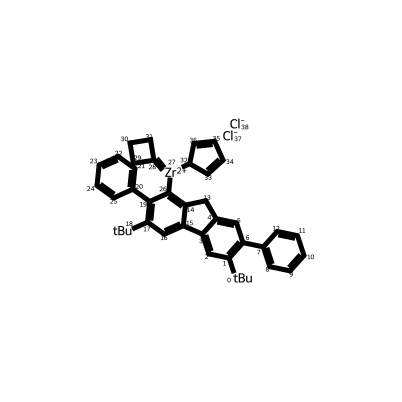 CC(C)(C)c1cc2c(cc1-c1ccccc1)Cc1c-2cc(C(C)(C)C)c(-c2ccccc2)[c]1[Zr+2](=[C]1CCC1)[CH]1C=CC=C1.[Cl-].[Cl-]